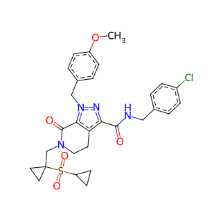 COc1ccc(Cn2nc(C(=O)NCc3ccc(Cl)cc3)c3c2C(=O)N(CC2(S(=O)(=O)C4CC4)CC2)CC3)cc1